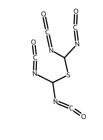 O=C=NC(N=C=O)SC(N=C=O)N=C=O